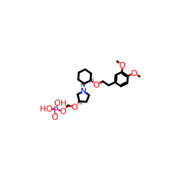 COc1ccc(CCO[C@@H]2CCCC[C@H]2N2CC[C@H](OCOP(=O)(O)O)C2)cc1OC